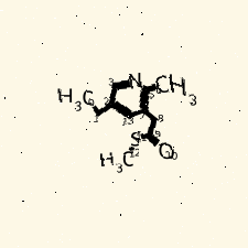 CCc1cnc(C)c(CC(=O)SC)c1